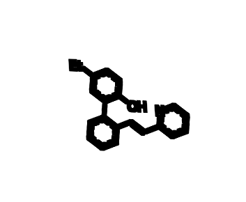 CCc1ccc(O)c(-c2ccccc2C=Cc2ccccn2)c1